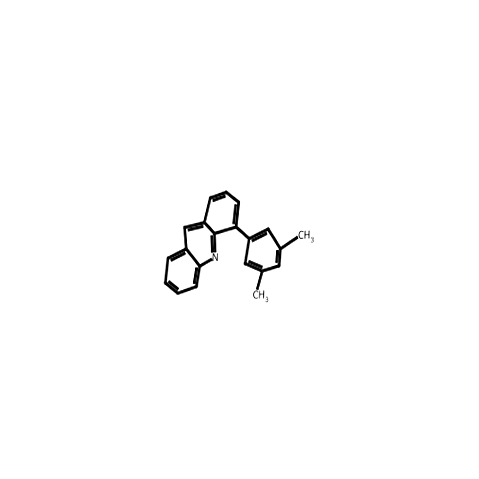 Cc1cc(C)cc(-c2cccc3cc4ccccc4nc23)c1